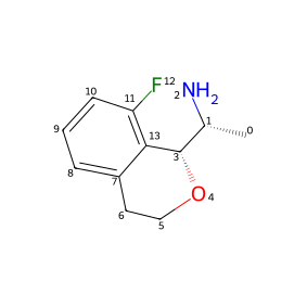 C[C@@H](N)[C@@H]1OCCc2cccc(F)c21